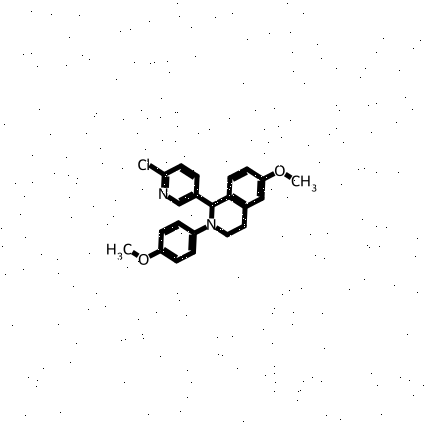 COc1ccc(N2CCc3cc(OC)ccc3C2c2ccc(Cl)nc2)cc1